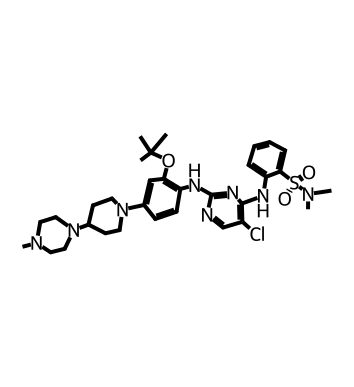 CN1CCN(C2CCN(c3ccc(Nc4ncc(Cl)c(Nc5ccccc5S(=O)(=O)N(C)C)n4)c(OC(C)(C)C)c3)CC2)CC1